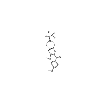 COc1ccc(C(=O)c2cc3c(cc2OC)CCN(C(=O)C(F)(F)F)CC3)cc1